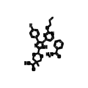 CCCOc1nccc(-c2[nH]c(C3OCC(C)(C(=O)O)CO3)nc2-c2ccc(F)cc2)n1.NC(=O)c1ccccc1